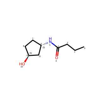 CCCC(=O)N[C@H]1CC[C@H](O)C1